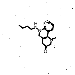 CCCCNN1CC2=C(c3cccnc31)N(C)CC(=O)C2